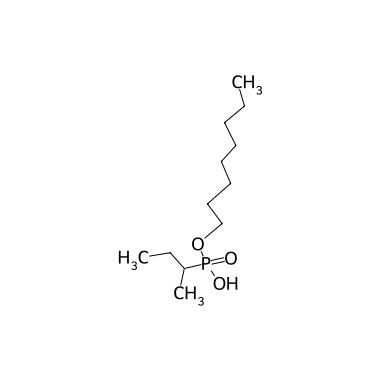 CCCCCCCCOP(=O)(O)C(C)CC